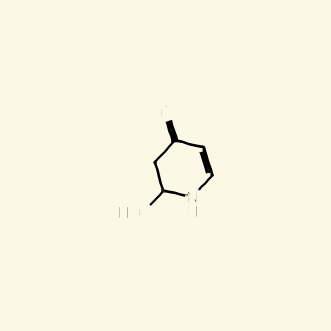 CC1CC(=O)C=CN1